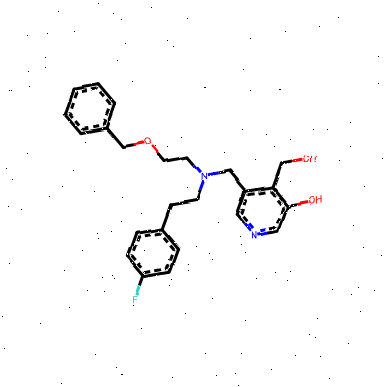 OCc1c(O)cncc1CN(CCOCc1ccccc1)CCc1ccc(F)cc1